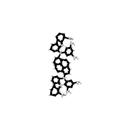 CCCCc1cccc2c1oc1c(N(c3cc(C)cc(C)c3)c3ccc4ccc5c(N(c6cc(C)cc(C)c6)c6cccc7c6oc6c(CCCC)cccc67)ccc6ccc3c4c65)cccc12